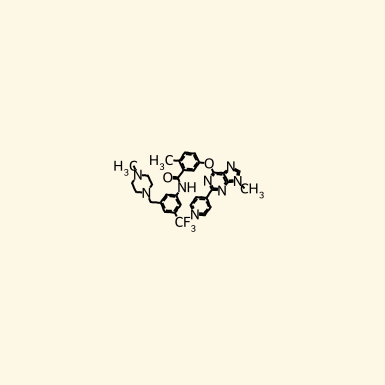 Cc1ccc(Oc2nc(-c3ccncc3)nc3c2ncn3C)cc1C(=O)Nc1cc(CN2CCN(C)CC2)cc(C(F)(F)F)c1